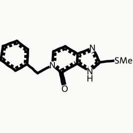 CSc1nc2ccn(Cc3ccccc3)c(=O)c2[nH]1